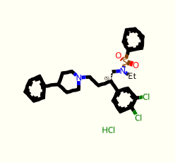 CCN(C[C@@H](CCN1CCC(c2ccccc2)CC1)c1ccc(Cl)c(Cl)c1)S(=O)(=O)c1ccccc1.Cl